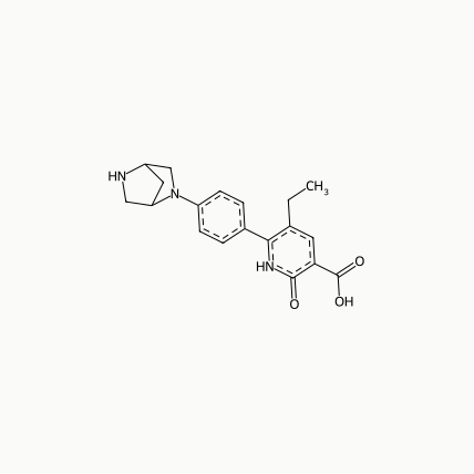 CCc1cc(C(=O)O)c(=O)[nH]c1-c1ccc(N2CC3CC2CN3)cc1